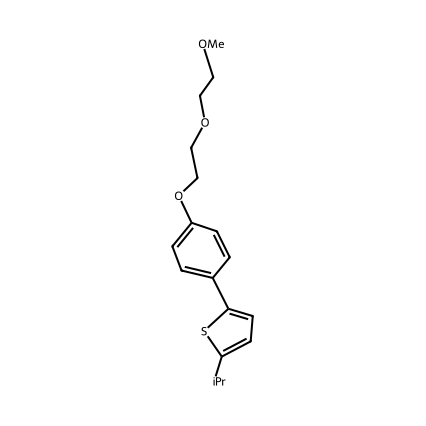 COCCOCCOc1ccc(-c2ccc(C(C)C)s2)cc1